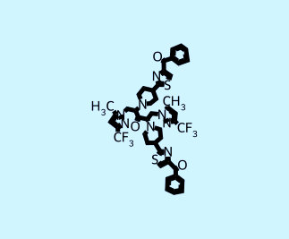 Cc1cc(C(F)(F)F)nn1CC(C(=O)C(Cn1nc(C(F)(F)F)cc1C)N1CCC(c2nc(C(=O)c3ccccc3)cs2)CC1)N1CCC(c2nc(C(=O)c3ccccc3)cs2)CC1